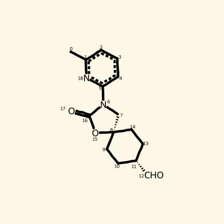 Cc1cccc(N2C[C@]3(CC[C@@H](C=O)CC3)OC2=O)n1